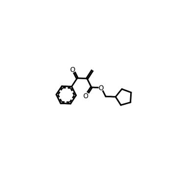 C=C(C(=O)OCC1CCCC1)C(=O)c1ccccc1